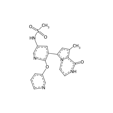 Cc1cc(-c2cc(NS(C)(=O)=O)cnc2Oc2cccnc2)n2cc[nH]c(=O)c12